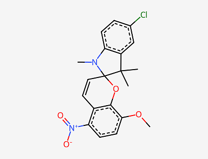 COc1ccc([N+](=O)[O-])c2c1OC1(C=C2)N(C)c2ccc(Cl)cc2C1(C)C